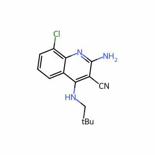 CC(C)(C)CNc1c(C#N)c(N)nc2c(Cl)cccc12